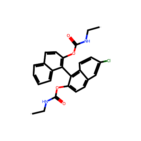 [CH2]CNC(=O)Oc1ccc2ccccc2c1-c1c(OC(=O)NC[CH2])ccc2cc(Cl)ccc12